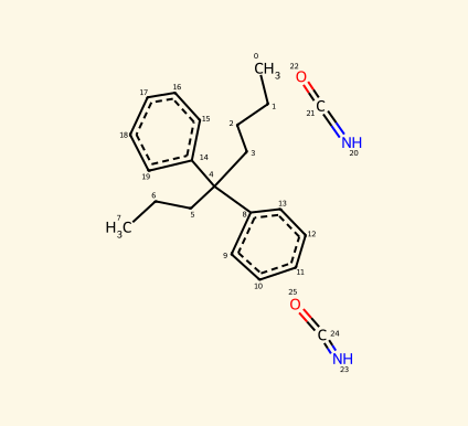 CCCCC(CCC)(c1ccccc1)c1ccccc1.N=C=O.N=C=O